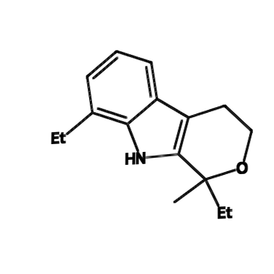 CCc1cccc2c3c([nH]c12)C(C)(CC)OCC3